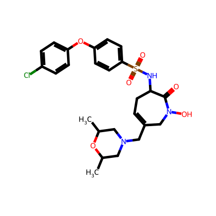 CC1CN(CC2=CCC(NS(=O)(=O)c3ccc(Oc4ccc(Cl)cc4)cc3)C(=O)N(O)C2)CC(C)O1